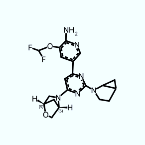 Nc1ncc(-c2cc(N3C[C@@H]4C[C@H]3CO4)nc(N3CCC4CC43)n2)cc1OC(F)F